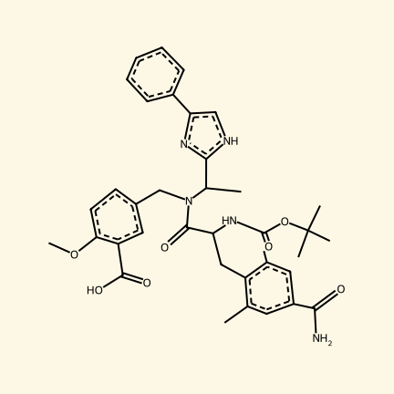 COc1ccc(CN(C(=O)C(Cc2c(C)cc(C(N)=O)cc2C)NC(=O)OC(C)(C)C)C(C)c2nc(-c3ccccc3)c[nH]2)cc1C(=O)O